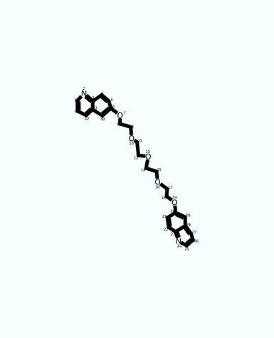 c1cnc2ccc(OCCOCCOCCOCCOc3ccc4ncccc4c3)cc2c1